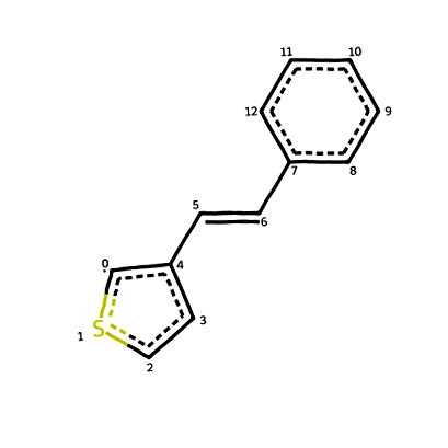 [c]1sccc1C=Cc1ccccc1